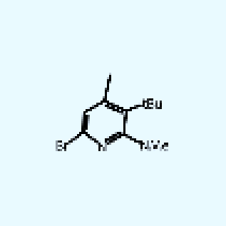 CNc1nc(Br)cc(C)c1C(C)(C)C